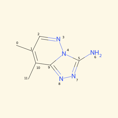 Cc1cnn2c(N)nnc2c1C